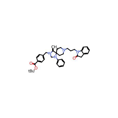 C=C1N(Cc2ccc(C(=O)OC(C)(C)C)cc2)CN(c2ccccc2)C12CCN(CCCN1C(=O)Cc3ccccc31)CC2